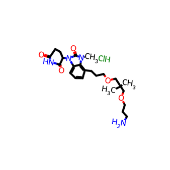 Cl.Cn1c(=O)n(C2CCC(=O)NC2=O)c2cccc(CCCOCC(C)(C)COCCCN)c21